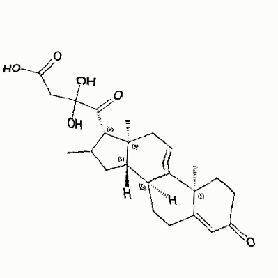 CC1C[C@H]2[C@@H]3CCC4=CC(=O)CC[C@]4(C)C3=CC[C@]2(C)[C@H]1C(=O)C(O)(O)CC(=O)O